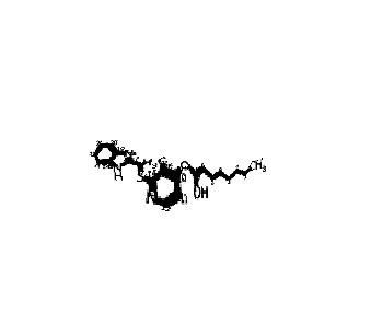 CCCCCCCC(O)Oc1ccnc(SCc2nc3ccccc3[nH]2)c1C